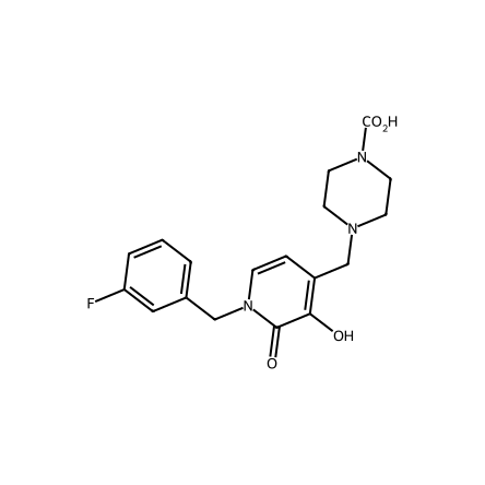 O=C(O)N1CCN(Cc2ccn(Cc3cccc(F)c3)c(=O)c2O)CC1